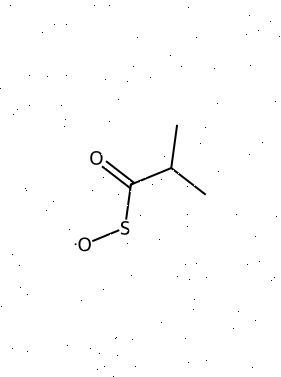 CC(C)C(=O)S[O]